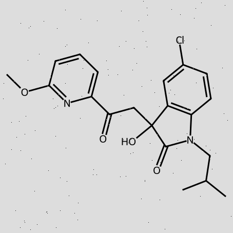 COc1cccc(C(=O)CC2(O)C(=O)N(CC(C)C)c3ccc(Cl)cc32)n1